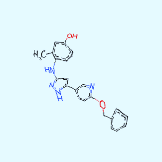 Cc1cc(O)ccc1Nc1cc(-c2ccc(OCc3ccccc3)nc2)[nH]n1